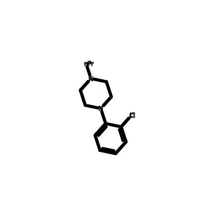 [CH2]CCN1CCN(c2ccccc2Cl)CC1